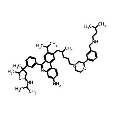 CC(C)CCNCc1cccc(C2CN(CCCC(C)Cc3cc4c(cc3C(C)C)c(-c3cccc(C(C)(CCNC(C)C)C(C)C)c3)nc3cc(N)ccc34)CCO2)c1